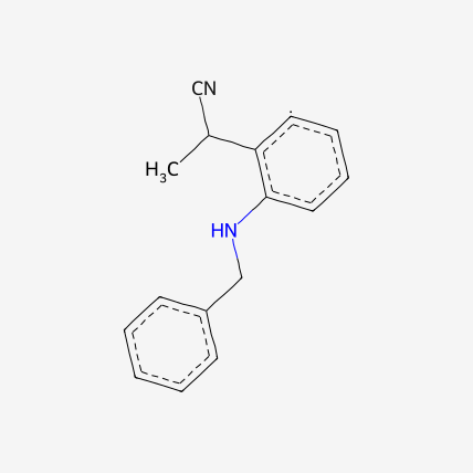 CC(C#N)c1[c]cccc1NCc1ccccc1